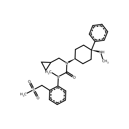 CN[C@]1(c2ccccc2)CC[C@H](N(CC2CC2)C(=O)N(C)c2ccccc2CS(C)(=O)=O)CC1